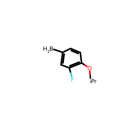 Bc1ccc(OC(C)C)c(F)c1